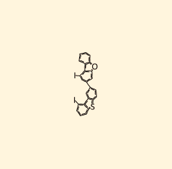 Ic1cc(-c2ccc3sc4cccc(I)c4c3c2)cc2oc3ccccc3c12